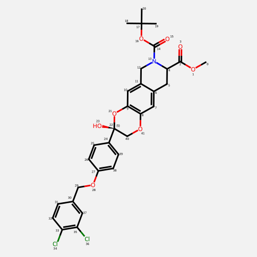 COC(=O)C1Cc2cc3c(cc2CN1C(=O)OC(C)(C)C)O[C@@](O)(c1ccc(OCc2ccc(Cl)c(Cl)c2)cc1)CO3